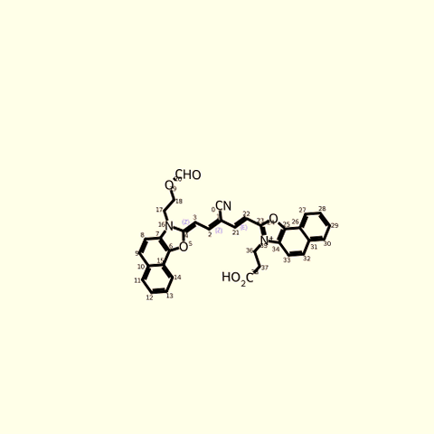 N#CC(=C\C=C1/Oc2c(ccc3ccccc23)N1CCOC=O)/C=C/c1oc2c3ccccc3ccc2[n+]1CCC(=O)O